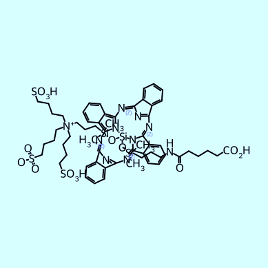 C[Si](C)(CCCNC(=O)CCCCC(=O)O)O[Si]1(O[Si](C)(C)CCC[N+](CCCCS(=O)(=O)[O-])(CCCCS(=O)(=O)O)CCCCS(=O)(=O)O)n2c3c4ccccc4c2/N=C2N=C(/N=c4/c5ccccc5/c(n41)=N/C1=NC(=N\3)/c3ccccc31)c1ccccc1\2